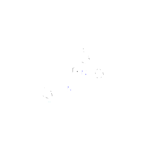 C=C(/C=C\C=C/C)C(c1ccc(C)cc1)N(CC1CCN(CCCC2=CCCC=C2F)CC1)C(C)C